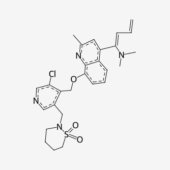 C=C/C=C(/c1cc(C)nc2c(OCc3c(Cl)cncc3CN3CCCCS3(=O)=O)cccc12)N(C)C